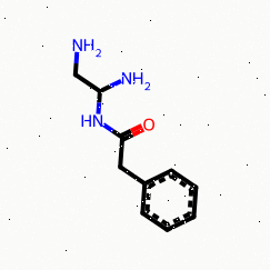 NCC(N)NC(=O)Cc1ccccc1